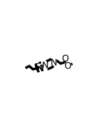 CCCC(C)(C)[Si](C)(C)N1CCN(CCC(=O)OC)CC1